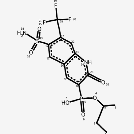 CCC(C)OP(=O)(O)c1cc2cc(S(N)(=O)=O)c(C(F)(F)F)cc2[nH]c1=O